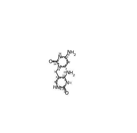 Nc1ccn(Cc2c[nH]c(=O)nc2N)c(=O)n1